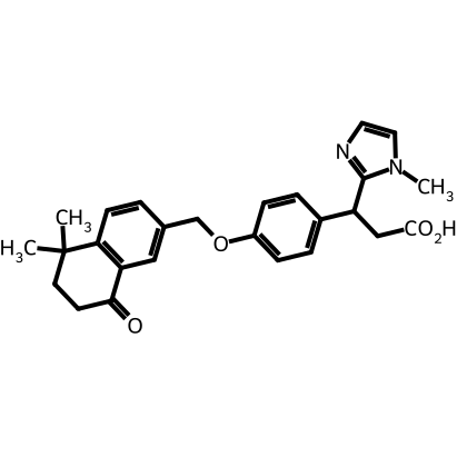 Cn1ccnc1C(CC(=O)O)c1ccc(OCc2ccc3c(c2)C(=O)CCC3(C)C)cc1